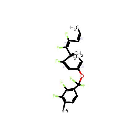 C=C(/C(F)=C(F)\C=C/C)/C(F)=C\C(=C/C)OC(F)(F)c1ccc(CCC)c(F)c1F